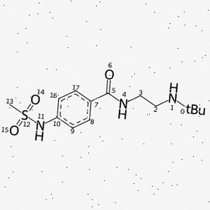 CC(C)(C)NCCNC(=O)c1ccc(NS(C)(=O)=O)cc1